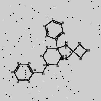 O=CC1(NC2(c3ccccc3)CCN(Cc3ccccc3)CC2)CCC1